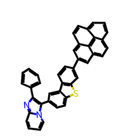 c1ccc(-c2nc3ccccn3c2-c2ccc3sc4cc(-c5cc6ccc7cccc8ccc(c5)c6c78)ccc4c3c2)cc1